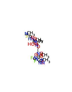 C=C(C(c1cc(OCCCCCNC(=O)c2cc3c(cc2CS(C)(=O)=O)-c2cn(C)c(=O)c4[nH]cc(c24)CN3c2ncc(F)cc2F)no1)C(C)C)N1CC(O)C[C@H]1C(=O)NOc1ccc(-c2scnc2C)cc1